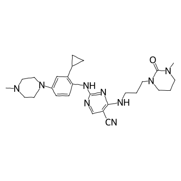 CN1CCN(c2ccc(Nc3ncc(C#N)c(NCCCN4CCCN(C)C4=O)n3)c(C3CC3)c2)CC1